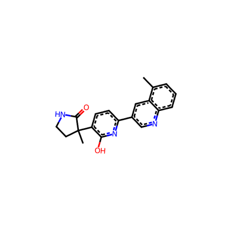 Cc1cccc2ncc(-c3ccc(C4(C)CCNC4=O)c(O)n3)cc12